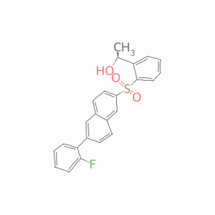 C[C@H](O)c1ccccc1S(=O)(=O)c1ccc2cc(-c3ccccc3F)ccc2c1